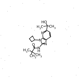 CC(C)(C)C(=O)Nc1nc2ccc(C(C)(C)O)nc2n1C1CCC1